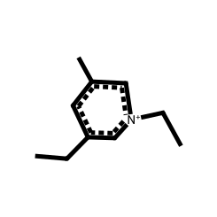 CCc1cc(C)c[n+](CC)c1